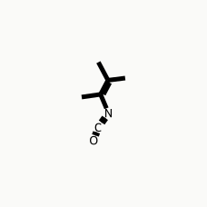 CC(C)=C(C)N=C=O